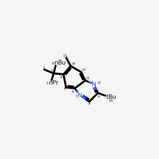 CCCCC(C)(CCC)c1cc2ncc(C(C)(C)C)nc2cc1C